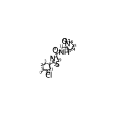 Cc1ccc(-c2nc(C(=O)NCc3cccc[n+]3[O-])cs2)cc1Cl